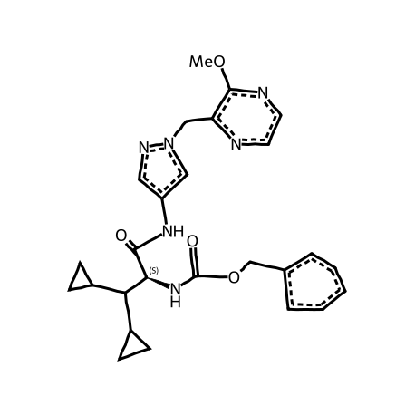 COc1nccnc1Cn1cc(NC(=O)[C@@H](NC(=O)OCc2ccccc2)C(C2CC2)C2CC2)cn1